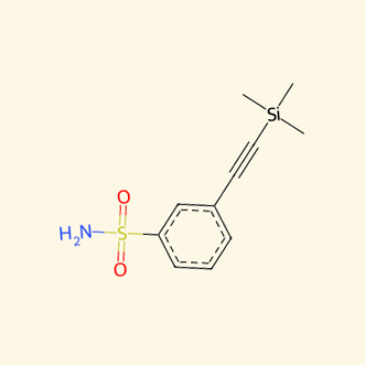 C[Si](C)(C)C#Cc1cccc(S(N)(=O)=O)c1